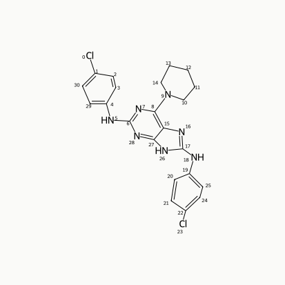 Clc1ccc(Nc2nc(N3CCCCC3)c3nc(Nc4ccc(Cl)cc4)[nH]c3n2)cc1